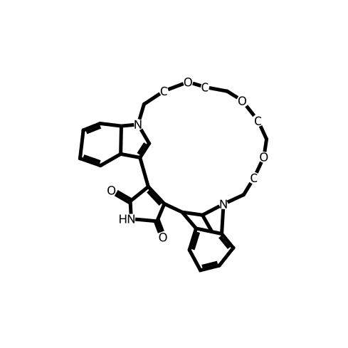 CC1C2C3=C(C(=O)NC3=O)C3=CN(CCOCCOCCOCCN1c1ccccc12)C1C=CC=CC31